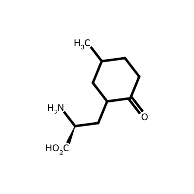 CC1CCC(=O)C(C[C@H](N)C(=O)O)C1